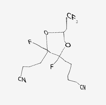 N#CCCC1(F)OC(C(F)(F)F)OC1(F)CCC#N